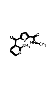 CNC(=O)c1ccc(C(=O)c2cccnc2N)s1